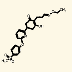 CCON=CCCC1=C(O)CC(c2cccc(Oc3ccc(S(C)(=O)=O)cc3)n2)CC1=O